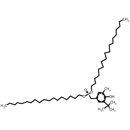 CCCCCCCCCCCCCCCCCCOP(=O)(Cc1cc(C)c(O)c(C(C)(C)C)c1)OCCCCCCCCCCCCCCCCCC